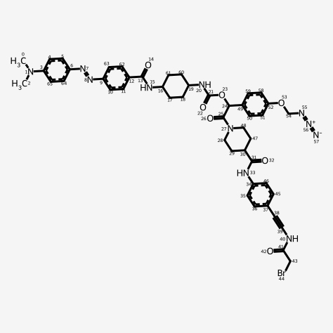 CN(C)c1ccc(/N=N/c2ccc(C(=O)NC3CCC(NC(=O)OC(C(=O)N4CCC(C(=O)Nc5ccc(C#CNC(=O)CBr)cc5)CC4)c4ccc(OCN=[N+]=[N-])cc4)CC3)cc2)cc1